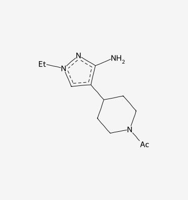 CCn1cc(C2CCN(C(C)=O)CC2)c(N)n1